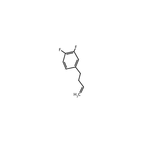 C=CCCc1[c]cc(F)c(F)c1